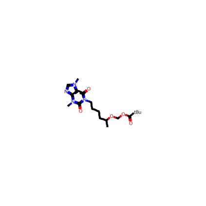 CC(CCCCn1c(=O)c2c(ncn2C)n(C)c1=O)OCOC(=O)C(C)(C)C